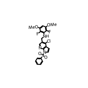 COc1cc(OC)c(F)c(NCc2cnc3c(ccn3S(=O)(=O)c3ccccc3)c2Cl)c1F